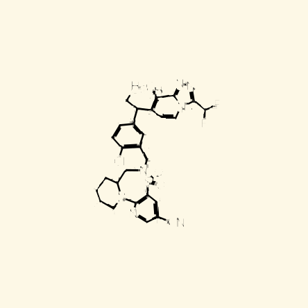 Cc1ccc(C(CC(=O)O)c2ccn3c(C(F)F)nnc3c2C)cc1CN1CC2CCCCN2c2ncc(C#N)cc2S1(=O)=O